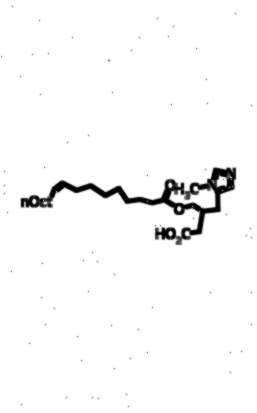 CCCCCCCC/C=C\CCCCCCCC(=O)OCC(CC(=O)O)Cc1cncn1C